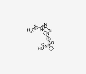 Cn1cc(-c2cn3ncc(C#N)c3c(-c3ccc(N4CCN(C(=O)[C@@H](CNC(=O)O)c5ccccc5)CC4)nc3)n2)cn1